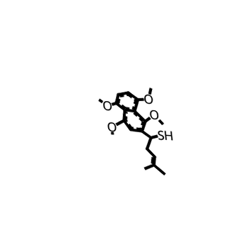 COc1ccc(OC)c2c(OC)c(C(S)CC=C(C)C)cc(OC)c12